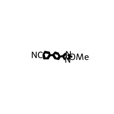 COc1ncc(-c2ccc(-c3ccc(C#N)cc3)cc2)cn1